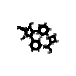 Cn1c(-c2ccccc2)c(-c2ccccc2)n(C)[c]1=[Pt].IN(I)C1CCC1